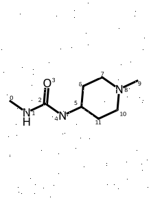 CNC(=O)[N]C1CCN(C)CC1